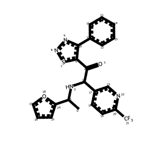 CC(NC(C(=O)c1snnc1-c1ccccc1)c1ccc(C(F)(F)F)nc1)c1ccco1